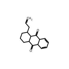 C=CCC1CCCC2C(=O)C3C=CC=CC3C(=O)C12